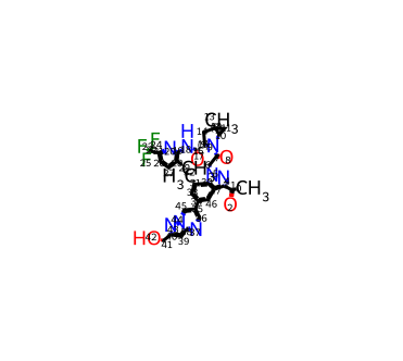 CC(=O)c1nn(CC(=O)N2C3C[C@]3(C)C[C@H]2C(=O)Nc2nc(C(F)(F)F)ccc2C)c2c(C)cc(-c3cnc4cc(CO)nn4c3)cc12